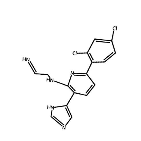 N=CCNc1nc(-c2ccc(Cl)cc2Cl)ccc1-c1cnc[nH]1